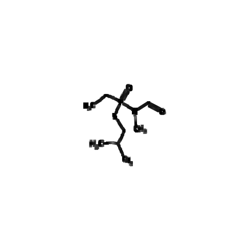 CCP(=O)(SCC(C)C)N(C)C=O